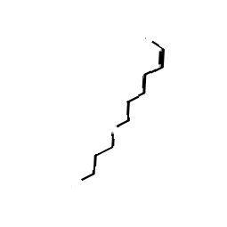 C/C=C\CCCCBCCCC